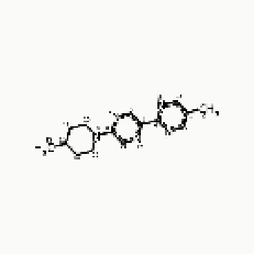 Cc1cnc(-c2cnc(N3CCC(C)CC3)cn2)nc1